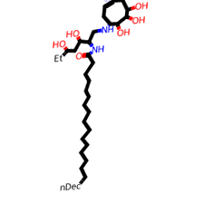 CCCCCCCCCCCCCCCCCCCCCCCCCC(=O)NC(CNC1C/C=C\CC(O)C(O)C1O)C(O)CC(O)CC